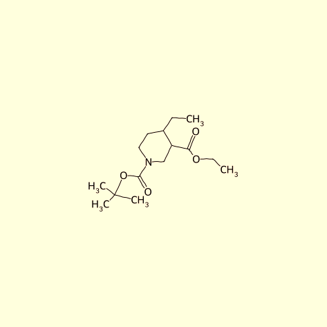 CCOC(=O)C1CN(C(=O)OC(C)(C)C)CCC1CC